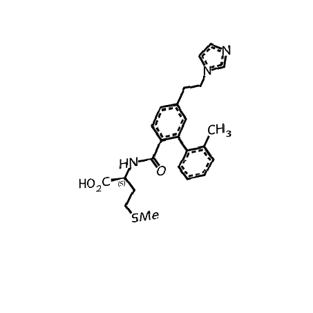 CSCC[C@H](NC(=O)c1ccc(CCn2ccnc2)cc1-c1ccccc1C)C(=O)O